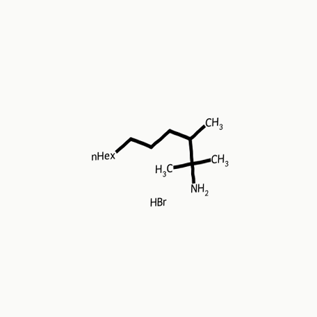 Br.CCCCCCCCCC(C)C(C)(C)N